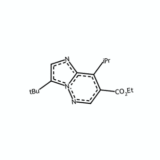 CCOC(=O)c1cnn2c(C(C)(C)C)cnc2c1C(C)C